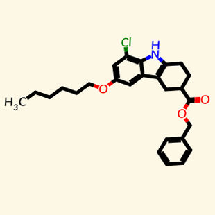 CCCCCCOc1cc(Cl)c2[nH]c3c(c2c1)CC(C(=O)OCc1ccccc1)CC3